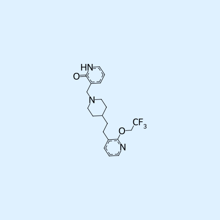 O=c1[nH]cccc1CN1CCC(CCc2cccnc2OCC(F)(F)F)CC1